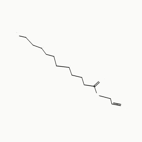 C=CCOC(=O)CCCCCCCCCCS